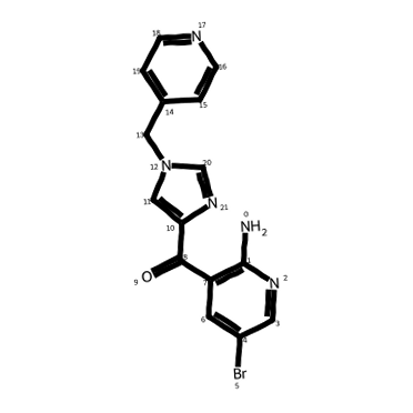 Nc1ncc(Br)cc1C(=O)c1cn(Cc2ccncc2)cn1